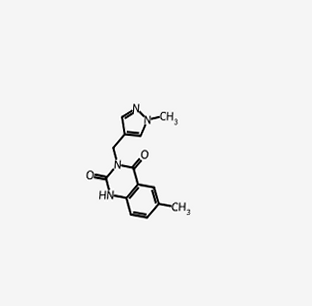 Cc1ccc2[nH]c(=O)n(Cc3cnn(C)c3)c(=O)c2c1